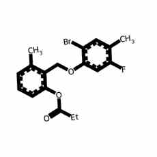 CCC(=O)Oc1cccc(C)c1COc1cc(F)c(C)cc1Br